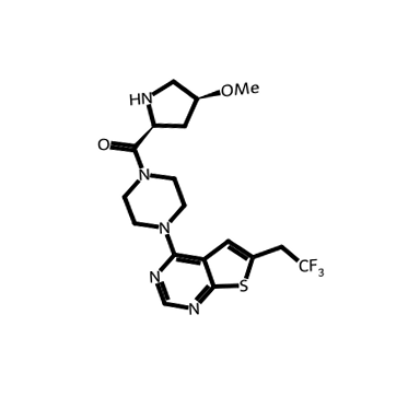 CO[C@@H]1CN[C@H](C(=O)N2CCN(c3ncnc4sc(CC(F)(F)F)cc34)CC2)C1